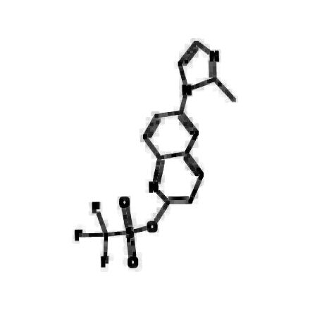 Cc1nccn1-c1ccc2nc(OS(=O)(=O)C(F)(F)F)ccc2c1